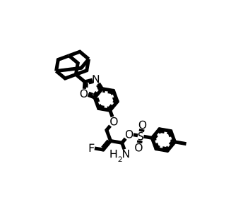 Cc1ccc(S(=O)(=O)OC(N)/C(=C/F)COc2ccc3nc(C45CC6CC(CC(C6)C4)C5)oc3c2)cc1